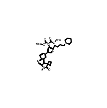 CN1C(=O)C2(CCC2)c2c1cnc1ccc(-c3cnc(CCCCN4CCCCC4)c(N(C(=O)OC(C)(C)C)C(=O)OC(C)(C)C)c3)cc21